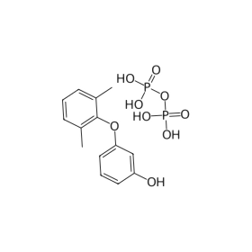 Cc1cccc(C)c1Oc1cccc(O)c1.O=P(O)(O)OP(=O)(O)O